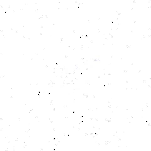 CCOc1ncccc1-c1cc(NC/C=C/C=N)c(NC(C)C)c(C=N)n1